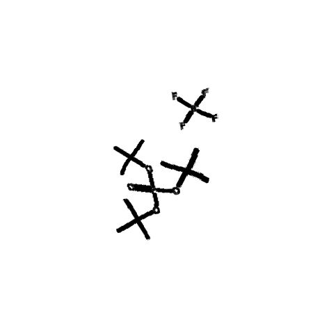 CC(C)(C)OP(=O)(OC(C)(C)C)OC(C)(C)C.F[B-](F)(F)F